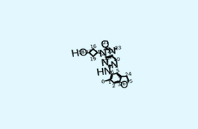 Cc1cc2c(cc1Nc1ncc3c(n1)n([C@H]1C[C@@H](O)C1)c(=O)n3C)CCO2